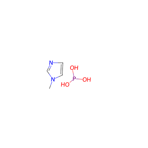 Cn1ccnc1.OP(O)O